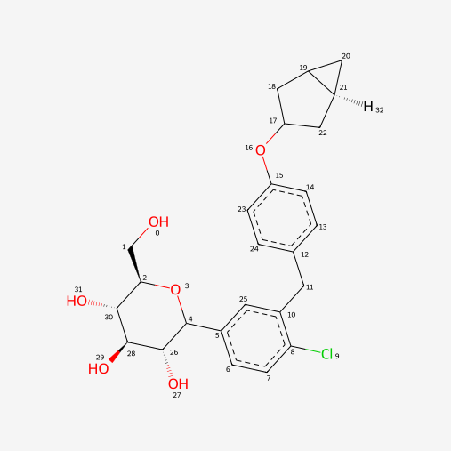 OC[C@H]1OC(c2ccc(Cl)c(Cc3ccc(OC4CC5C[C@H]5C4)cc3)c2)[C@H](O)[C@@H](O)[C@@H]1O